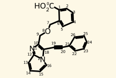 O=C(O)c1ccccc1COCc1nc2ccccn2c1C#Cc1ccccc1